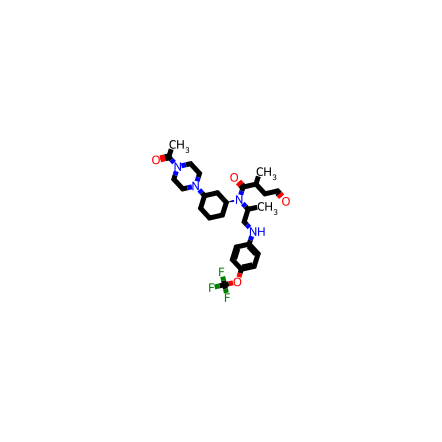 CC(=O)N1CCN(C2CCC[C@@H](N(C(=O)C(C)CC=O)C(C)CNc3ccc(OC(F)(F)F)cc3)C2)CC1